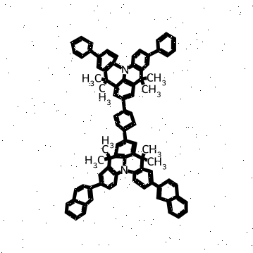 CC1(C)c2cc(-c3ccccc3)ccc2N2c3ccc(-c4ccccc4)cc3C(C)(C)c3cc(-c4ccc(-c5cc6c7c(c5)C(C)(C)c5cc(-c8ccc9ccccc9c8)ccc5N7c5ccc(-c7ccc8ccccc8c7)cc5C6(C)C)cc4)cc1c32